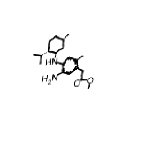 COC(=O)Cc1cc(N)c(N[C@@H]2C[C@H](C)CC[C@H]2C(C)C)cc1C